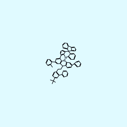 Cc1ccccc1-c1cc2c3c(c1)C(CCc1ccc(C(C)(C)C)cc1-c1ccccc1)c1ccc(-c4ccccc4)cc1B3N1c3ccccc3C3(c4ccccc4-c4ccccc43)c3cccc-2c31